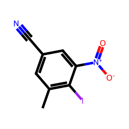 Cc1cc(C#N)cc([N+](=O)[O-])c1I